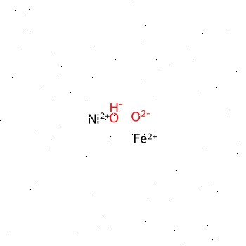 [Fe+2].[Ni+2].[O-2].[OH-]